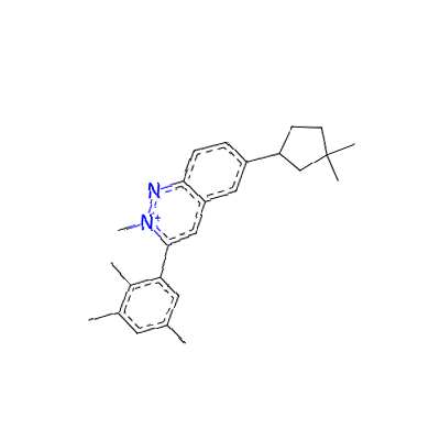 Cc1cc(C)c(C)c(-c2cc3cc(C4CCC(C)(C)C4)ccc3n[n+]2C)c1